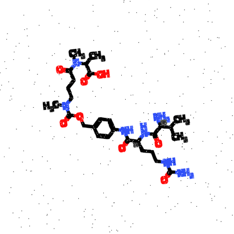 CC(C)[C@H](N)C(=O)N[C@@H](CCCNC(N)=O)C(=O)Nc1ccc(COC(=O)N(C)CCCC(=O)N(C)C(C)C(=O)O)cc1